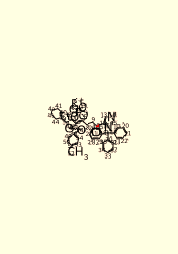 CCOP(=O)(OCC)OC(CCC(=O)c1cncn1C(c1ccccc1)(c1ccccc1)c1ccccc1)=C(CCC1CCCCC1)S(=O)(=O)c1ccc(C)cc1